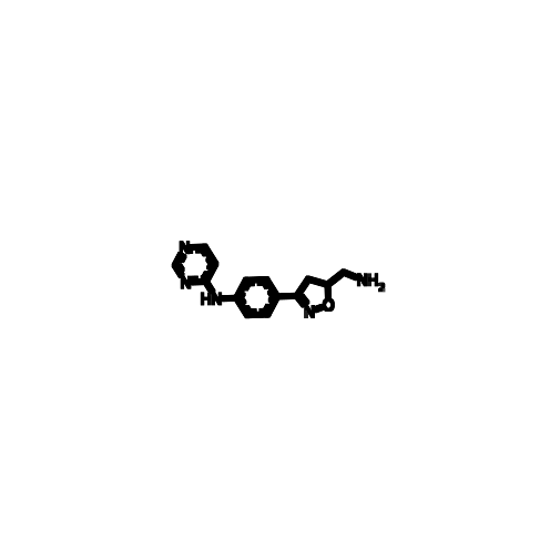 NCC1CC(c2ccc(Nc3ccncn3)cc2)=NO1